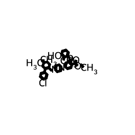 CCOC(=O)c1ccc(N2CCN(CC3=C(c4ccc(Cl)cc4)CC(C)(C)CC3)CC2)cc1Oc1cccc(O)c1C